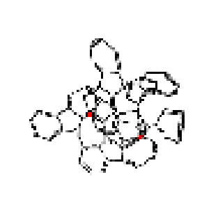 c1ccc(-c2ccccc2-n2c3ccccc3c3ccc(-n4c5c(-n6c7ccccc7c7ccccc76)cccc5c5cccc([Si](c6ccccc6)(c6ccccc6)c6ccccc6)c54)cc32)cc1